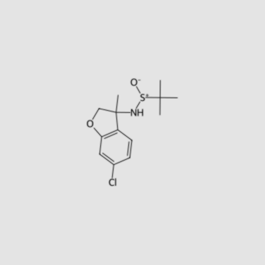 CC1(N[S+]([O-])C(C)(C)C)COc2cc(Cl)ccc21